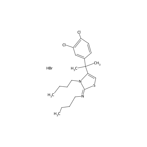 Br.CCCCN=c1scc(C(C)(C)c2ccc(Cl)c(Cl)c2)n1CCCC